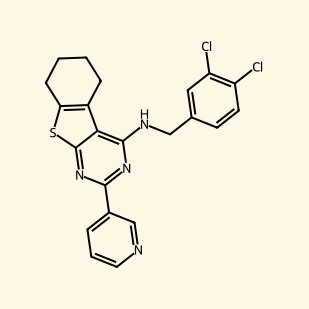 Clc1ccc(CNc2nc(-c3cccnc3)nc3sc4c(c23)CCCC4)cc1Cl